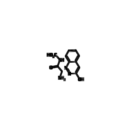 NCC(=O)NC(=O)O.Oc1cc2ccccc2nn1